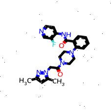 Cc1cc(C)n(CC(=O)N2CCN(c3ccccc3C(=O)Nc3ccncc3F)CC2)n1